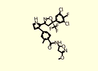 COC1=NOC(NC(=O)c2ccc(-c3cc[nH]c3C3=NO[C@@](c4cc(Cl)c(F)c(Cl)c4)(C(F)(F)F)C3)cc2C)C1